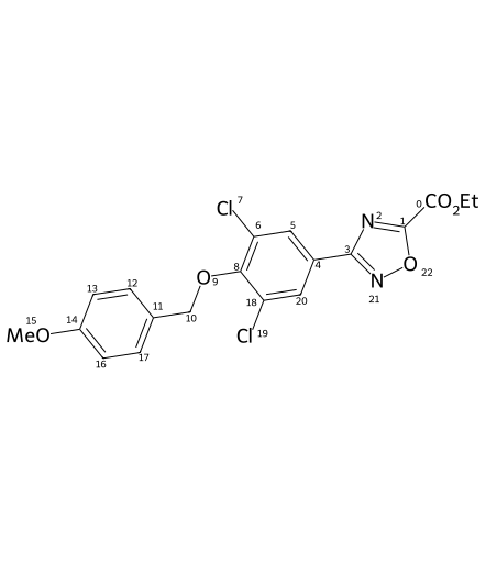 CCOC(=O)c1nc(-c2cc(Cl)c(OCc3ccc(OC)cc3)c(Cl)c2)no1